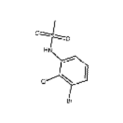 CS(=O)(=O)Nc1cccc(Br)c1Cl